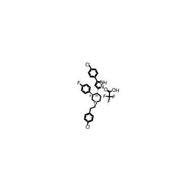 Fc1ccc([C@@H]2CN(CCc3ccc(Cl)cc3)CC[C@H]2c2cc(-c3ccc(Cl)cc3)[nH]n2)cc1.O=C(O)C(F)(F)F